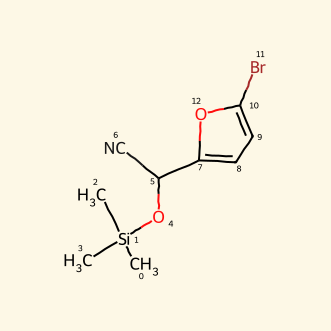 C[Si](C)(C)OC(C#N)c1ccc(Br)o1